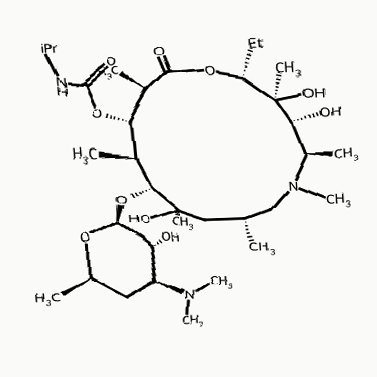 CC[C@H]1OC(=O)[C@H](C)[C@@H](OC(=O)NC(C)C)[C@H](C)[C@@H](O[C@@H]2O[C@H](C)C[C@H](N(C)C)[C@H]2O)[C@](C)(O)C[C@@H](C)CN(C)[C@H](C)[C@@H](O)[C@]1(C)O